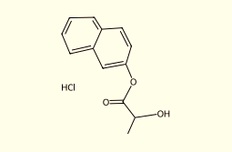 CC(O)C(=O)Oc1ccc2ccccc2c1.Cl